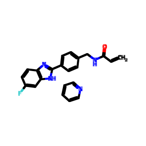 C=CC(=O)NCc1ccc(-c2nc3ccc(F)cc3[nH]2)cc1.c1ccncc1